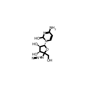 [N-]=[N+]=NC1(CO)O[C@@H](N2C=CC(N)=NC2O)[C@H](O)[C@@H]1O